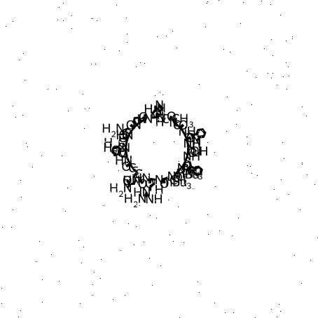 CCCC[C@H]1C(=O)N(C)[C@@H](CCCC)C(=O)N[C@@H](CCCNC(=N)N)C(=O)N[C@H](C(=O)NCC(N)=O)CSCC(=O)N[C@@H](Cc2ccccc2)C(=O)N(C)[C@@H](C)C(=O)N[C@@H](CC(N)=O)C(=O)N2CCC[C@H]2C(=O)N[C@@H](Cc2cnc[nH]2)C(=O)NCC(=O)N(C)CC(=O)N[C@@H](Cc2c[nH]c3ccccc23)C(=O)N[C@@H](CO)C(=O)N[C@@H](Cc2c[nH]c3ccccc23)C(=O)N1C